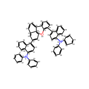 c1ccc(N(c2ccccc2)c2ccc(-c3cc4c5c(cccc5c3)-c3cccc(-c5ccc(N(c6ccccc6)c6ccccc6)c6ccccc56)c3O4)c3ccccc23)cc1